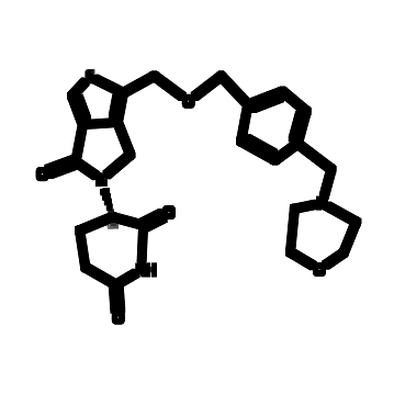 O=C1CC[C@H](N2Cc3c(csc3COCc3ccc(CN4CCOCC4)cc3)C2=O)C(=O)N1